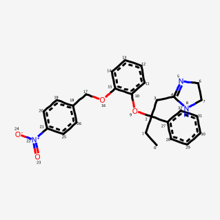 CCC(CC1=NCCN1)(Oc1ccccc1OCc1ccc([N+](=O)[O-])cc1)c1ccccc1